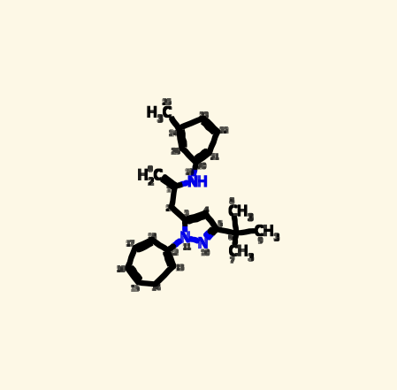 C=C(Cc1cc(C(C)(C)C)nn1C1=CCC=CC=C1)Nc1cccc(C)c1